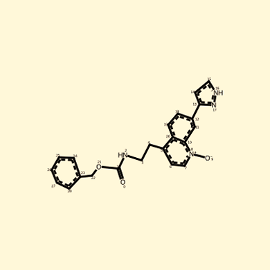 O=C(NCCc1cc[n+]([O-])c2cc(-c3cc[nH]n3)ccc12)OCc1ccccc1